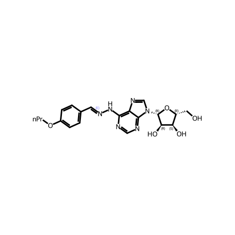 CCCOc1ccc(/C=N/Nc2ncnc3c2ncn3[C@@H]2O[C@H](CO)[C@@H](O)[C@H]2O)cc1